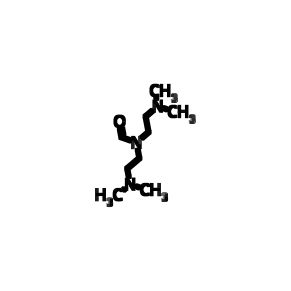 CN(C)CCN(C=O)CCN(C)C